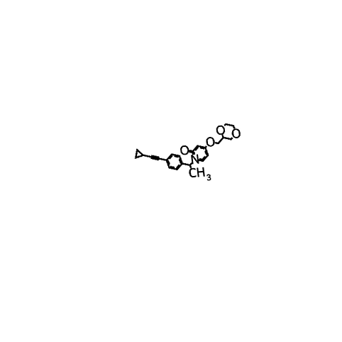 CC(c1ccc(C#CC2CC2)cc1)n1ccc(OCC2COCCO2)cc1=O